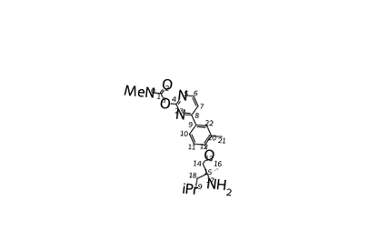 CNC(=O)Oc1nccc(-c2ccc(OC[C@@](C)(N)CC(C)C)c(C)c2)n1